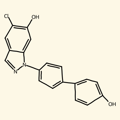 Oc1ccc(-c2ccc(-n3ncc4cc(Cl)c(O)cc43)cc2)cc1